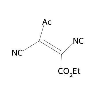 [C-]#[N+]/C(C(=O)OCC)=C(/C#N)C(C)=O